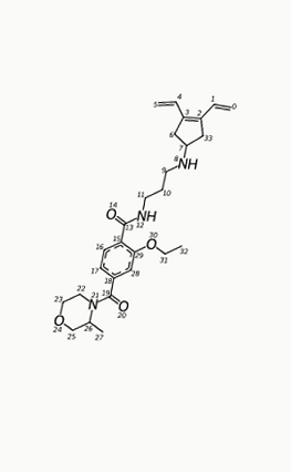 C=CC1=C(C=C)CC(NCCCNC(=O)c2ccc(C(=O)N3CCOCC3C)cc2OCC)C1